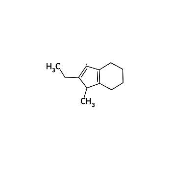 CCC1=[C]C2=C(CCCC2)C1C